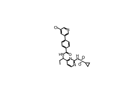 CCC(NC(=O)c1ccc(-c2cncc(Cl)c2)cc1)c1ccnc(NS(=O)(=O)C2CC2)n1